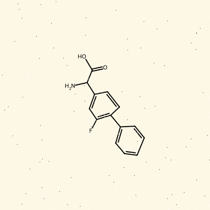 NC(C(=O)O)c1ccc(-c2ccccc2)c(F)c1